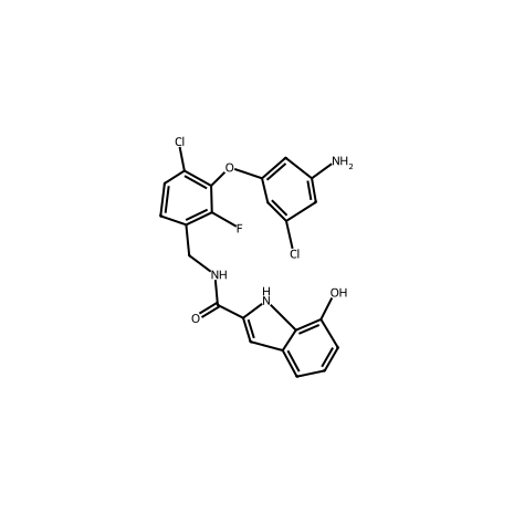 Nc1cc(Cl)cc(Oc2c(Cl)ccc(CNC(=O)c3cc4cccc(O)c4[nH]3)c2F)c1